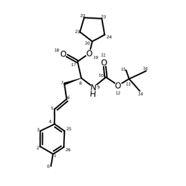 Cc1ccc(/C=C/C[C@H](NC(=O)OC(C)(C)C)C(=O)OC2CCCC2)cc1